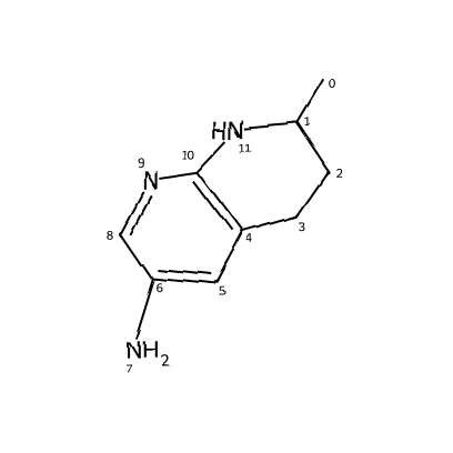 CC1CCc2cc(N)cnc2N1